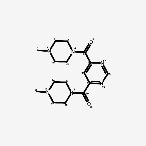 CN1CCN(C(=O)c2cc(C(=O)N3CCN(C)CC3)ncn2)CC1